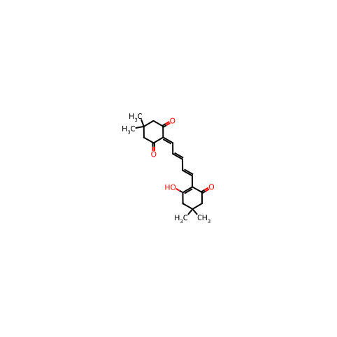 CC1(C)CC(=O)C(=CC=CC=CC2=C(O)CC(C)(C)CC2=O)C(=O)C1